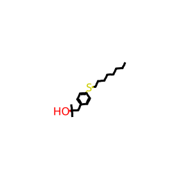 CCCCCCCCSc1ccc(CC(C)(C)O)cc1